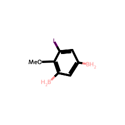 Bc1cc(B)c(OC)c(I)c1